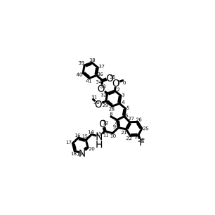 COc1cc(C=C2C(C)=C(CC(=O)NCc3cccnc3)c3cc(F)ccc32)cc(OC)c1OC(=O)c1ccccc1